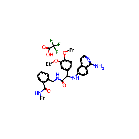 CCNC(=O)c1ccccc1CNC(=O)C(Nc1ccc2c(N)nccc2c1)c1ccc(OC(C)C)c(OCC)c1.O=C(O)C(F)(F)F